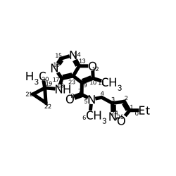 CCc1cc(CN(C)C(=O)c2c(C)oc3ncnc(NC4(C)CC4)c23)no1